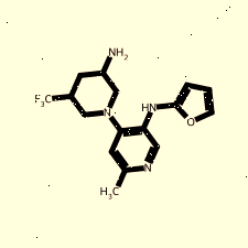 Cc1cc(N2CC(N)CC(C(F)(F)F)C2)c(Nc2ccco2)cn1